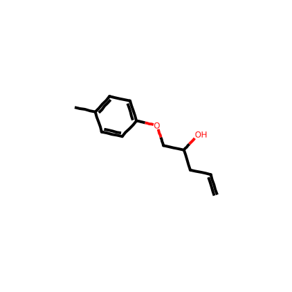 C=CCC(O)COc1ccc(C)cc1